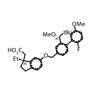 CC[C@]1(CC(=O)O)CCc2ccc(OCc3ccc(-c4cc(OC)ccc4F)c([C@H](OC)C(C)(C)C)c3)cc21